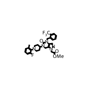 COC(=O)Cn1ncc2c1CN(C1CCN(c3c(C)cccc3F)CC1)C(=O)N2Cc1ccccc1C(F)(F)F